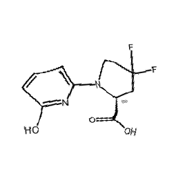 O=C(O)[C@@H]1CC(F)(F)CN1c1cccc(O)n1